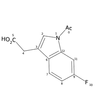 CC(=O)n1cc(CC(=O)O)c2ccc(F)cc21